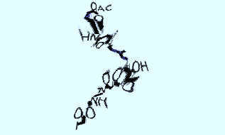 CC(=O)O[C@@H](C)/C=C\C(=O)N[C@@H]1C[C@H](C)[C@H](C/C=C(C)/C=C/[C@H]2O[C@H](CC(=O)N(C)CCNCOC(=O)CI)C[C@@]3(CO3)[C@@H]2O)O[C@@H]1C